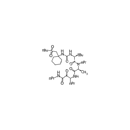 CCCNC(=O)C(=O)C(CCC)NC(=O)[C@H](C)N(CCC)C(=O)[C@@H](NC(=O)NC1(CS(=O)(=O)C(C)(C)C)CCCCC1)C(C)(C)C